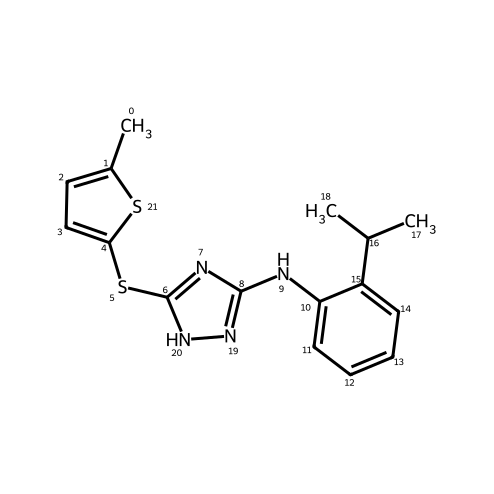 Cc1ccc(Sc2nc(Nc3ccccc3C(C)C)n[nH]2)s1